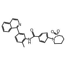 Cc1ccc(-c2nccc3ccccc23)cc1NC(=O)c1ccc(N2CCCCS2(=O)=O)cc1